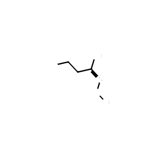 CCC/C(C)=N\OC